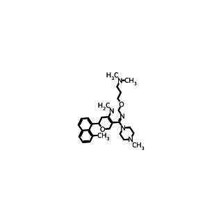 C=NC1=C(/C(=N\COCCCN(C)C)N2CCN(C)CC2)COC(c2cccc3cccc(C)c23)C1